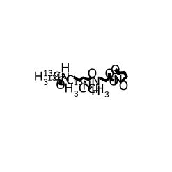 C[15N](C)C(CCC[13CH2]N[13C]([13CH3])=O)C(=O)NCCC(=O)ON1C(=O)CCC1=O